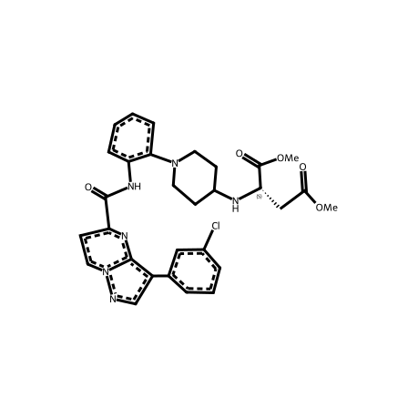 COC(=O)C[C@H](NC1CCN(c2ccccc2NC(=O)c2ccn3ncc(-c4cccc(Cl)c4)c3n2)CC1)C(=O)OC